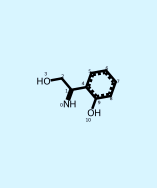 N=C(CO)c1ccccc1O